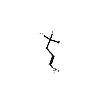 C/[C]=C/CC(F)(F)F